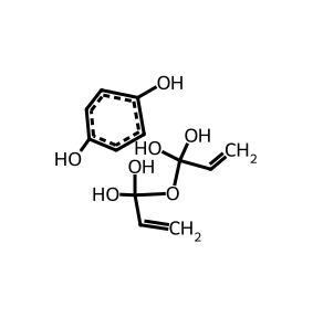 C=CC(O)(O)OC(O)(O)C=C.Oc1ccc(O)cc1